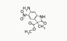 COC(=O)C1(C)C(=O)Nc2cc(N)c([N+](=O)[O-])cc21